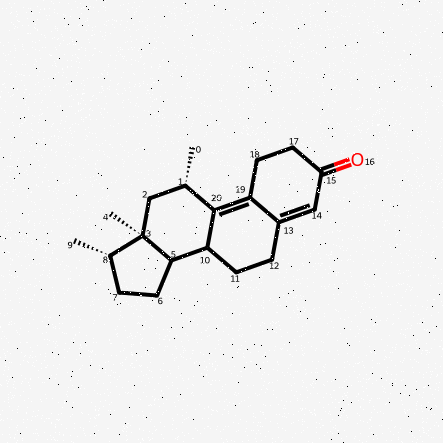 C[C@H]1C[C@@]2(C)C(CC[C@@H]2C)C2CCC3=CC(=O)CCC3=C21